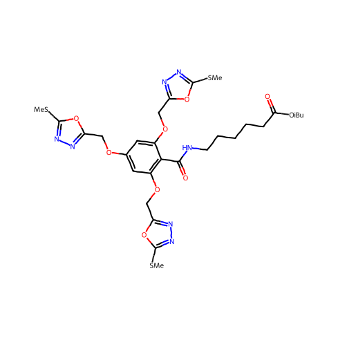 CSc1nnc(COc2cc(OCc3nnc(SC)o3)c(C(=O)NCCCCCC(=O)OCC(C)C)c(OCc3nnc(SC)o3)c2)o1